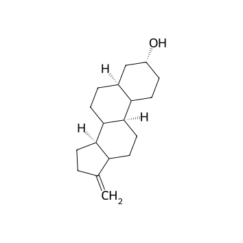 C=C1CC[C@@H]2C1CC[C@@H]1C3CC[C@@H](O)C[C@@H]3CCC21